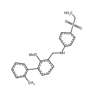 COc1c(CNc2ccc(S(=O)(=O)CC(=O)O)cc2)cccc1-c1ccccc1C